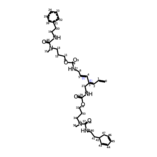 C=C/C=C(\C=C\CNC(=O)OCCCN(C)C(=O)NCCc1ccccc1)CNC(=O)OCCCN(C)C(=O)NCCC1C=CC=CC1